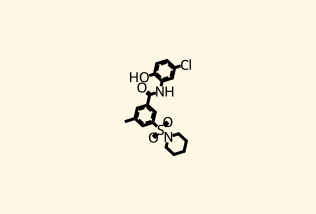 Cc1cc(C(=O)Nc2cc(Cl)ccc2O)cc(S(=O)(=O)N2CCCCC2)c1